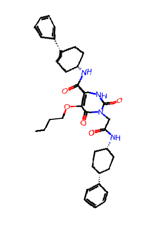 CCCCOc1c(C(=O)N[C@H]2CC[C@@H](c3ccccc3)CC2)[nH]c(=O)n(CC(=O)N[C@H]2CC[C@@H](c3ccccc3)CC2)c1=O